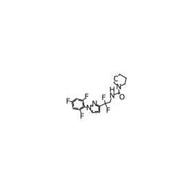 O=C(NCC(F)(F)c1ccn(-c2c(F)cc(F)cc2F)n1)N1CCCCC1